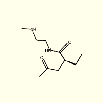 CC[C@@H](CC(C)=O)C(=O)NCCNC